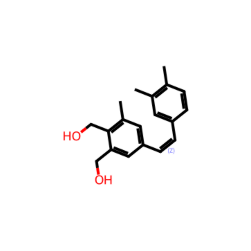 Cc1ccc(/C=C\c2cc(C)c(CO)c(CO)c2)cc1C